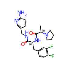 C[C@H](C(=O)N[C@@H](Cc1ccc(F)c(F)c1)C(=O)NCc1ccc(N)nc1)N1CCCC1